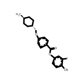 C[C@H]1CC[C@H](COc2ccc(C(=O)Oc3ccc(C#N)c(F)c3)cc2)CC1